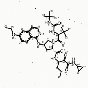 CCCC(NC(=O)[C@@H]1C[C@@H](Oc2nccc3cc(OCC)ccc23)CN1C(=O)C(NC(=O)NC(C)(C)C)C(C)(C)C)C(=O)C(=O)NC1CC1